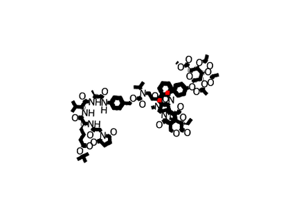 CC[C@@]1(OC(=O)N(C)CCN(C)C(=O)OCc2ccc(O[C@@H]3O[C@H](C(=O)OC)[C@@H](OC(C)=O)[C@H](OC(C)=O)[C@H]3OC(C)=O)cc2)C(=O)OCc2c1cc1n(c2=O)Cc2c-1nc1ccccc1c2CCN(C(=O)OCc1ccc(NC(=O)[C@H](C)NC(=O)[C@@H](NC(=O)[C@H](CCCC(=O)OC(C)(C)C)NC(=O)CN2C(=O)C=CC2=O)C(C)C)cc1)C(C)C